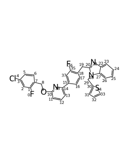 Fc1cc(Cl)ccc1COc1cccc(-c2ccc(Cc3nc4ccccc4n3Cc3cccs3)c(F)c2)n1